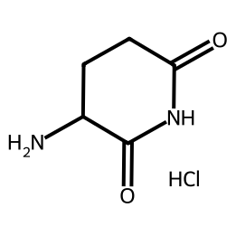 Cl.NC1CCC(=O)NC1=O